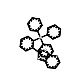 c1ccc([Si](c2ccccc2)(c2ccccc2)c2ccccc2-c2nc3cccnc3o2)cc1